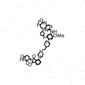 COc1cc(N2CCC(CCN3CCN(c4cccc5c4C(=O)N(C4CCC(=O)NC4=O)C5=O)CC3)CC2)c(F)cc1Nc1ncc2c(n1)N(C1CCCC1)CC(F)(F)C(=O)N2C